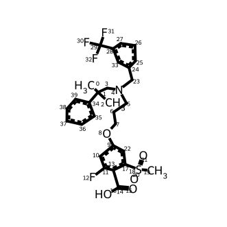 CC(C)(CN(CCCOc1cc(F)c(C(=O)O)c(S(C)(=O)=O)c1)Cc1cccc(C(F)(F)F)c1)c1ccccc1